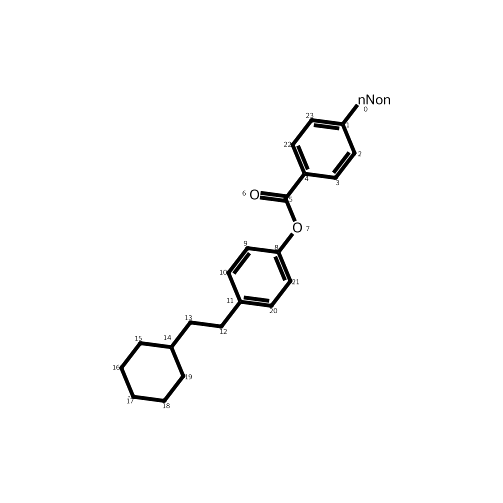 CCCCCCCCCc1ccc(C(=O)Oc2ccc(CCC3CC[CH]CC3)cc2)cc1